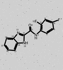 O=C(Nc1ccc(F)cc1F)c1nc2ccccc2[nH]1